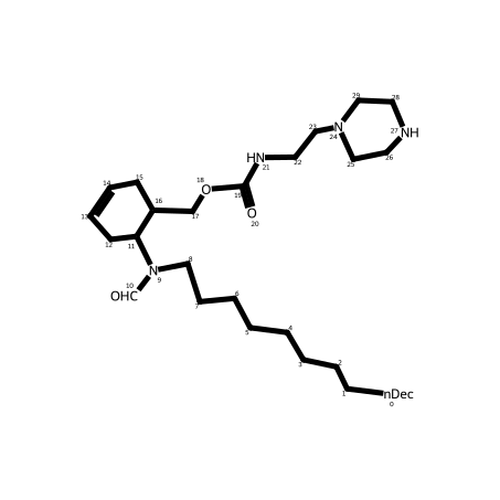 CCCCCCCCCCCCCCCCCCN(C=O)C1CC=CCC1COC(=O)NCCN1CCNCC1